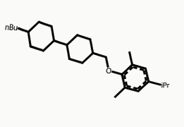 CCCCC1CCC(C2CCC(COc3c(C)cc(C(C)C)cc3C)CC2)CC1